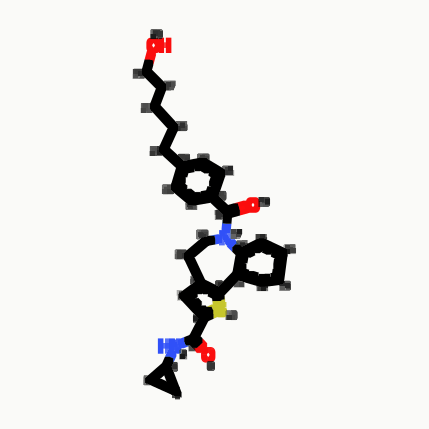 O=C(NC1CC1)c1cc2c(s1)-c1ccccc1N(C(=O)c1ccc(CCCCCO)cc1)CC2